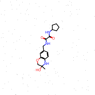 CC1(O)COc2cc(CNC(=O)C(=O)NC3CCCC3)ccc2N1